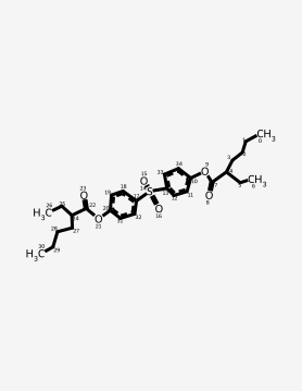 CCCCC(CC)C(=O)Oc1ccc(S(=O)(=O)c2ccc(OC(=O)C(CC)CCCC)cc2)cc1